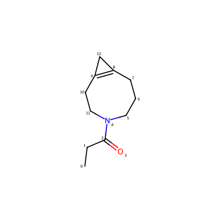 CCC(=O)N1CCCC2=C(CC1)C2